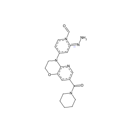 N/N=c1/cc(N2CCOc3cc(C(=O)N4CCCCC4)cnc32)ccn1C=O